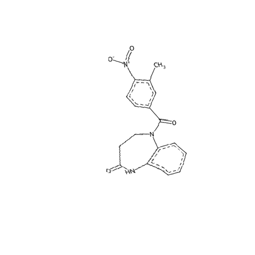 Cc1cc(C(=O)N2CCC(=O)Nc3ccccc32)ccc1[N+](=O)[O-]